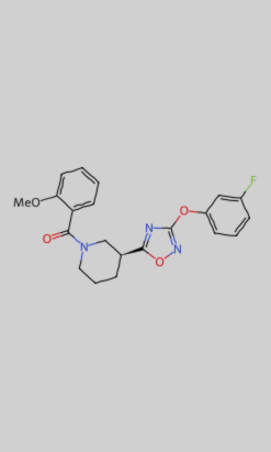 COc1ccccc1C(=O)N1CCC[C@H](c2nc(Oc3cccc(F)c3)no2)C1